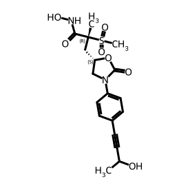 CC(O)C#Cc1ccc(N2C[C@H](C[C@](C)(C(=O)NO)S(C)(=O)=O)OC2=O)cc1